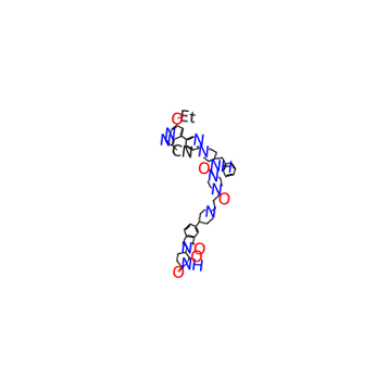 CCOc1cc(-c2ccc(N3CCC(Cc4ccccc4)(NC(=O)N4CCN(C(=O)CCN5CCC(c6ccc7c(c6)C(=O)N(C6CCC(=O)NC6=O)C7)CC5)CC4)CC3)nc2)c2c(C#N)cnn2c1